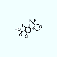 O=C(O)c1c(F)cc(N2CCOC[C@@H]2C(F)(F)F)cc1Cl